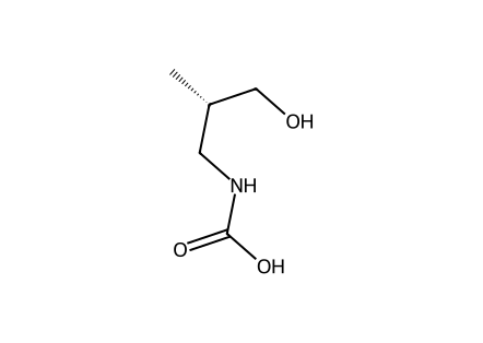 C[C@H](CO)CNC(=O)O